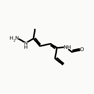 C=C/C(=C\C=C(/C)NN)NC=O